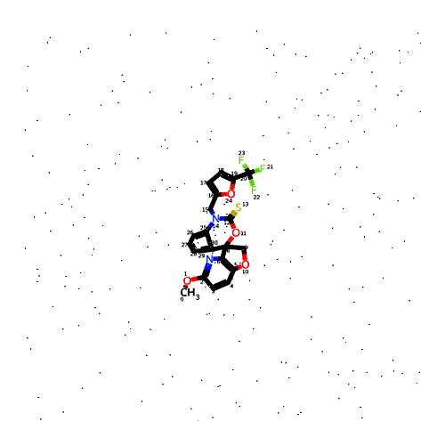 COc1ccc2c(n1)C1(CO2)OC(=S)N(Cc2ccc(C(F)(F)F)o2)c2ccccc21